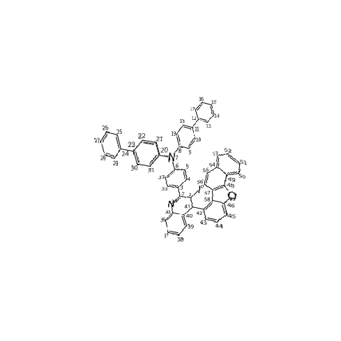 IC1C(c2ccc(N(c3ccc(-c4ccccc4)cc3)c3ccc(-c4ccccc4)cc3)cc2)=Nc2ccccc2C1c1cccc2oc3c4ccccc4ccc3c12